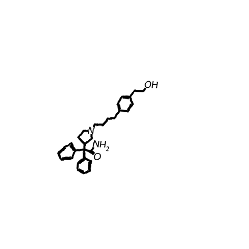 NC(=O)C(c1ccccc1)(c1ccccc1)C1CCN(CCCCc2ccc(CCO)cc2)C1